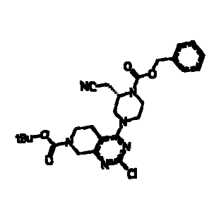 CC(C)(C)OC(=O)N1CCc2c(nc(Cl)nc2N2CCN(C(=O)OCc3ccccc3)[C@@H](CC#N)C2)C1